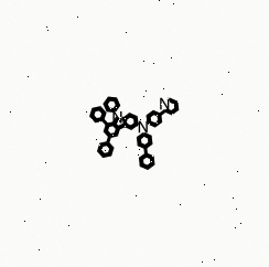 c1ccc(-c2ccc(N(c3ccc(-c4ccccn4)cc3)c3ccc4c(c3)c3cc(-c5ccccc5)cc(-c5ccccc5)c3n4-c3ccccc3)cc2)cc1